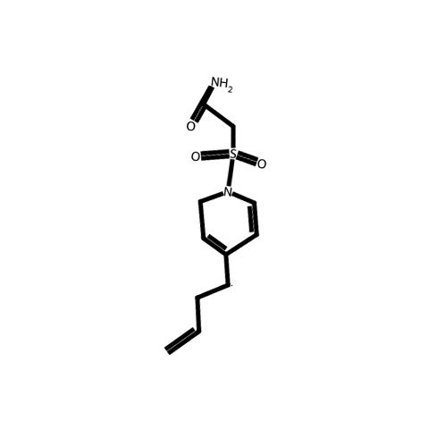 C=CC[CH]C1=CCN(S(=O)(=O)CC(N)=O)C=C1